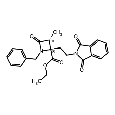 CCOC(=O)[C@@]1(CCN2C(=O)c3ccccc3C2=O)[C@@H](C)C(=O)N1Cc1ccccc1